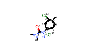 Cc1ccc(NC(=O)N(C)C)cc1Cl.Cl